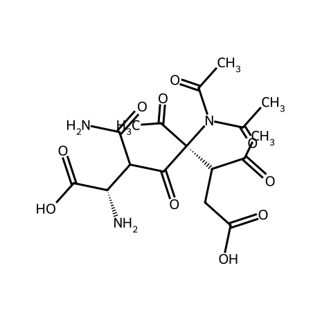 CC(=O)C(CC(=O)O)[C@@](C(C)=O)(C(=O)C(C(N)=O)[C@H](N)C(=O)O)N(C(C)=O)C(C)=O